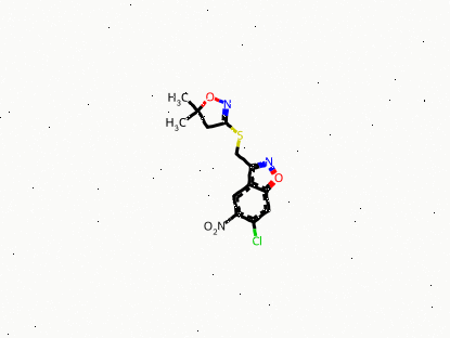 CC1(C)CC(SCc2noc3cc(Cl)c([N+](=O)[O-])cc23)=NO1